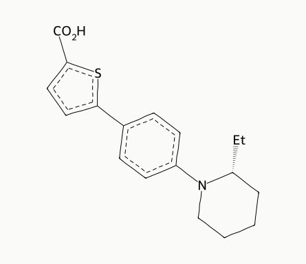 CC[C@@H]1CCCCN1c1ccc(-c2ccc(C(=O)O)s2)cc1